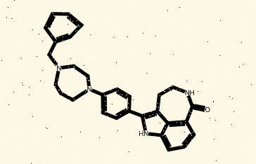 O=C1NCCc2c(-c3ccc(N4CCCN(Cc5ccccc5)CC4)cc3)[nH]c3cccc1c23